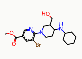 COC(=O)c1cnc(N2CCC(NC3CCCCC3)C(CO)C2)c(Br)c1